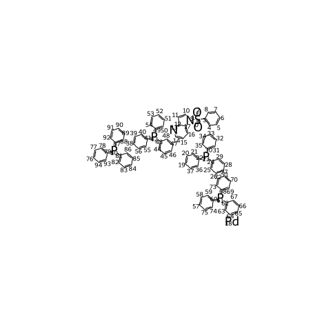 O=S(=O)(c1ccccc1)n1ccc2ncccc21.[Pd].c1ccc(P(c2ccccc2)c2ccccc2)cc1.c1ccc(P(c2ccccc2)c2ccccc2)cc1.c1ccc(P(c2ccccc2)c2ccccc2)cc1.c1ccc(P(c2ccccc2)c2ccccc2)cc1